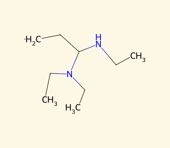 [CH2]CC(NCC)N(CC)CC